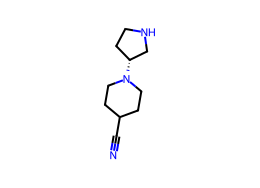 N#CC1CCN([C@@H]2CCNC2)CC1